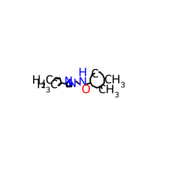 C=C/C=C\C(=C/C)c1ccn(CCNC(=O)C2CCCCCC(C)CC(C)CC2)n1